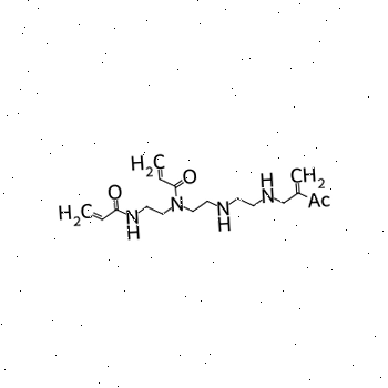 C=CC(=O)NCCN(CCNCCNCC(=C)C(C)=O)C(=O)C=C